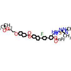 C=C(C)C(=O)OCCCCOc1ccc2cc(C(=O)Oc3ccc4cc(-c5ccc(-c6ccc(OC(=O)CCC)c(/C=N/Nc7nc8nc(C)nc(C)c8s7)c6)cc5F)ccc4c3)ccc2c1